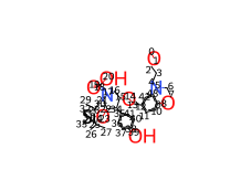 COCCCN1CCOc2ccc(COC3CN(C(=O)O)CC(O[Si](C(C)C)(C(C)C)C(C)C)C3c3ccc(O)cc3)cc21